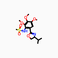 COc1cc(C2=NC(C(C)C)CO2)c(NS(C)(=O)=O)c(OC)c1OC